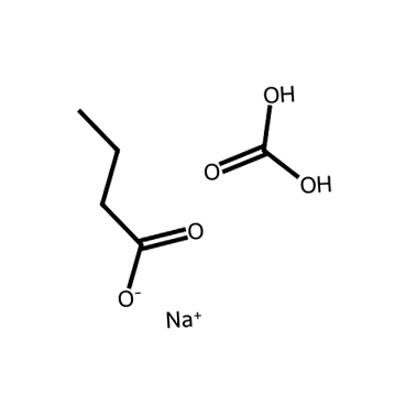 CCCC(=O)[O-].O=C(O)O.[Na+]